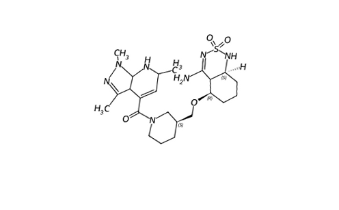 CC1=NN(C)C2NC(C)C=C(C(=O)N3CCC[C@H](CO[C@@H]4CCC[C@@H]5NS(=O)(=O)N=C(N)C54)C3)C12